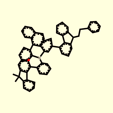 CC1(C)c2ccccc2-c2c(-c3ccccc3N(c3cccc(-c4cccc5c4-c4ccccc4C5CCc4ccccc4)c3)c3ccccc3-c3cccc4ccccc34)cccc21